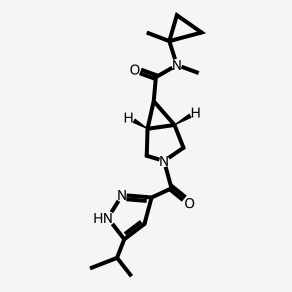 CC(C)c1cc(C(=O)N2C[C@@H]3C(C(=O)N(C)C4(C)CC4)[C@@H]3C2)n[nH]1